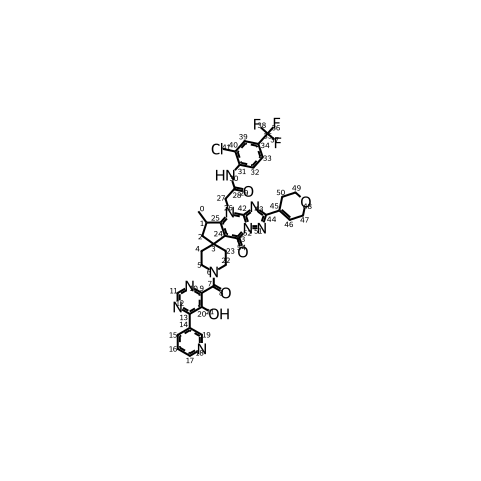 CC1CC2(CCN(C(=O)c3ncnc(-c4cccnc4)c3O)CC2)c2c1n(CC(=O)Nc1ccc(C(F)(F)F)cc1Cl)c1nc(C3=CCOCC3)nn1c2=O